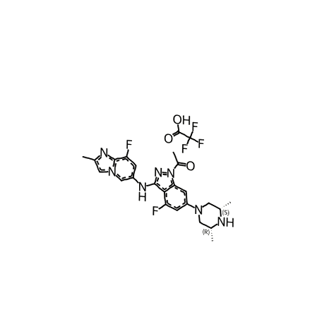 CC(=O)n1nc(Nc2cc(F)c3nc(C)cn3c2)c2c(F)cc(N3C[C@@H](C)N[C@@H](C)C3)cc21.O=C(O)C(F)(F)F